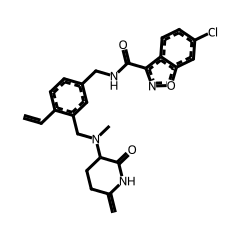 C=Cc1ccc(CNC(=O)c2noc3cc(Cl)ccc23)cc1CN(C)C1CCC(=C)NC1=O